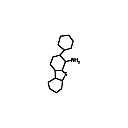 NC1C(C2CCCCC2)CCC2C3CCCCC3SC12